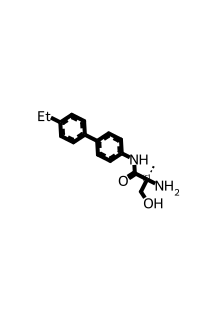 CCc1ccc(-c2ccc(NC(=O)[C@@](C)(N)CO)cc2)cc1